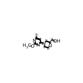 COc1nc(I)cc(N2CCO[C@H](CO)C2)n1